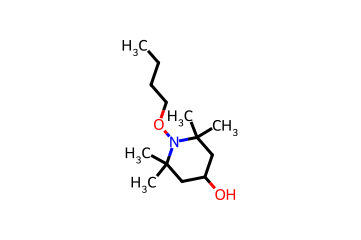 CCCCON1C(C)(C)CC(O)CC1(C)C